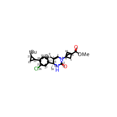 CCC(C)C1=CN(C23CC(C(=O)OC)(C2)C3)C(=O)N[C@@]1(C)c1ccc(C2CC2C(C)(C)C)c(Cl)c1